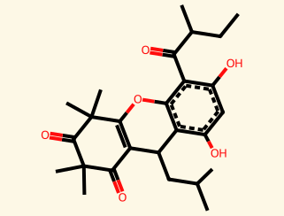 CCC(C)C(=O)c1c(O)cc(O)c2c1OC1=C(C(=O)C(C)(C)C(=O)C1(C)C)C2CC(C)C